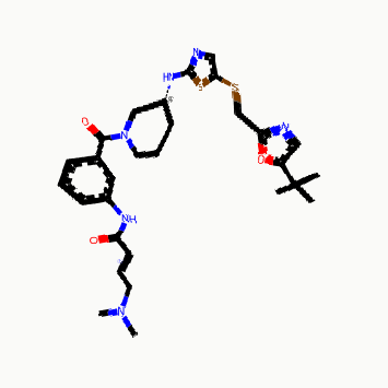 CN(C)C/C=C/C(=O)Nc1cccc(C(=O)N2CCC[C@@H](Nc3ncc(SCc4ncc(C(C)(C)C)o4)s3)C2)c1